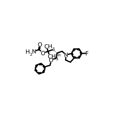 CC(C)(C[C@@H](COCc1ccccc1)CN1CCc2cc(F)ccc21)OC(N)=O